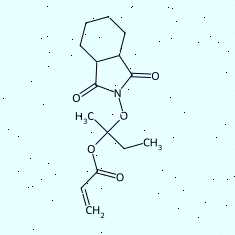 C=CC(=O)OC(C)(CC)ON1C(=O)C2CCCCC2C1=O